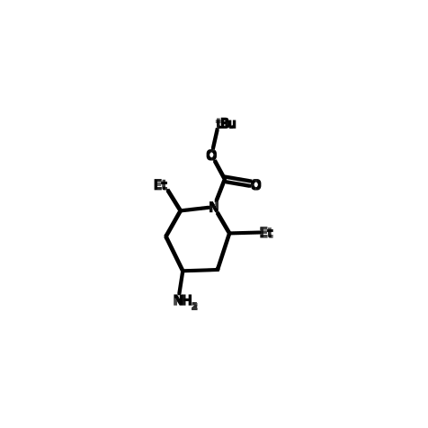 CCC1CC(N)CC(CC)N1C(=O)OC(C)(C)C